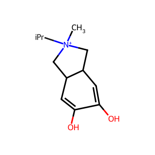 CC(C)[N+]1(C)CC2C=C(O)C(O)=CC2C1